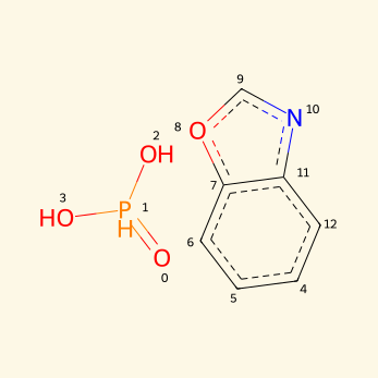 O=[PH](O)O.c1ccc2ocnc2c1